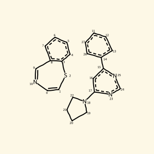 C1=CSc2ccccc2C=N1.c1ccc(-c2cc(N3CCCC3)ncn2)cc1